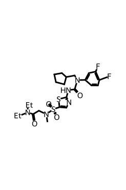 CCN(CC)C(=O)CN(C)S(=O)(=O)c1cnc(NC(=O)N(CC2CCCC2)c2ccc(F)c(F)c2)s1